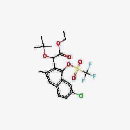 CCOC(=O)C(OC(C)(C)C)c1c(C)cc2ccc(Cl)cc2c1OS(=O)(=O)C(F)(F)F